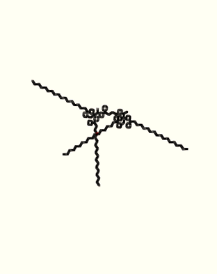 CCCCCCCCCCCCCCCCCC(=O)OC(CC)(OC(=O)CCCCCCCCCCCCCCCCC)C(C)OC(=O)CCC(=O)OC(C)C(CC)(OC(=O)CCCCCCCCCCCCCCCCC)OC(=O)CCCCCCCCCCCCCCCCC